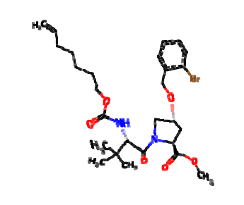 C=CCCCCCOC(=O)N[C@H](C(=O)N1C[C@H](OCc2ccccc2Br)C[C@H]1C(=O)OC)C(C)(C)C